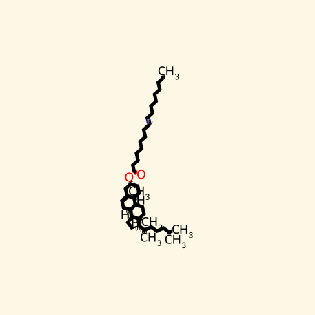 CCCCCCCC/C=C/CCCCCCCC(=O)O[C@H]1CC[C@@]2(C)C(=CC[C@H]3[C@@H]4CC[C@H]([C@H](C)CCCC(C)C)[C@@]4(C)CC[C@@H]32)C1